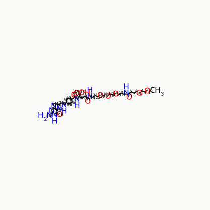 CCOCCOCCCC(=O)NCCCOCCOCCOCCCNC(=O)CC[C@@H](NC(=O)c1ccc(NCc2cnc3nc(N)[nH]c(=O)c3n2)cc1)C(=O)O